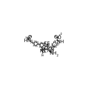 CCOC(=O)C1CC2(CCN(c3cc(O[C@H](c4ccc(-c5ccc(CCNC(C)=O)cc5)cc4-n4ccc(C)n4)C(F)(F)F)nc(N)n3)CC2)CN1